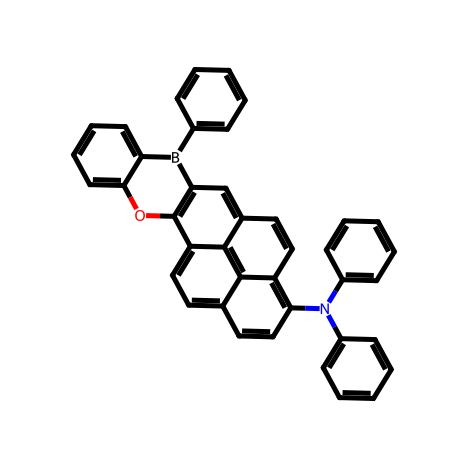 c1ccc(B2c3ccccc3Oc3c2cc2ccc4c(N(c5ccccc5)c5ccccc5)ccc5ccc3c2c54)cc1